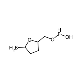 BC1CCC(COPO)O1